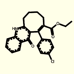 CCOC(=O)C1=C(c2ccc(Cl)cc2)c2c([nH]c3ccccc3c2=O)CCCC1